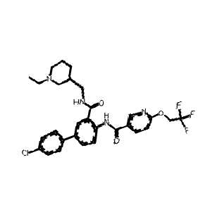 CCN1CCCC(CNC(=O)c2cc(-c3ccc(Cl)cc3)ccc2NC(=O)c2ccc(OCC(F)(F)F)nc2)C1